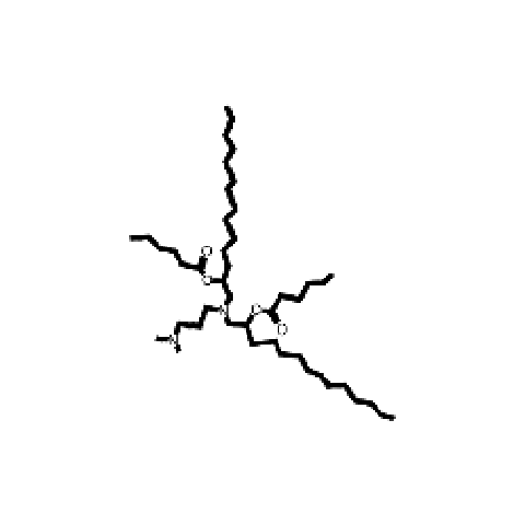 CCCCCCCCCCCCC(CN(CCCN(C)C)CC(CCCCCCCCCCCC)OC(=O)CCCCC)OC(=O)CCCCC